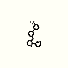 FC(F)(F)c1cccc(-c2cccc(C=C3CCCN=C3c3cccnc3)c2)c1